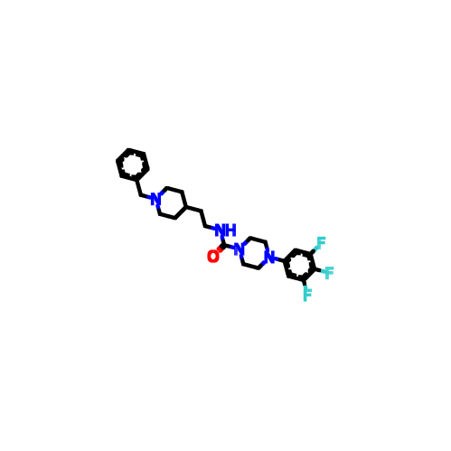 O=C(NCCC1CCN(Cc2ccccc2)CC1)N1CCN(c2cc(F)c(F)c(F)c2)CC1